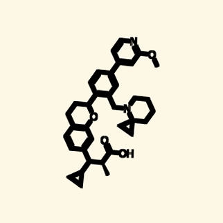 COc1cc(-c2ccc(C3CCc4ccc(C(C5CC5)[C@H](C)C(=O)O)cc4O3)c(CN3CCCCC34CC4)c2)ccn1